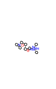 c1ccc(C2=NC(c3ccc4c(c3)oc3cccc(-c5cccc6c5oc5c(-n7c8ccccc8c8ccccc87)cccc56)c34)NC(c3ccccc3)N2)cc1